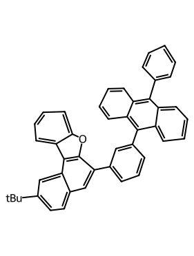 CC(C)(C)c1ccc2cc(-c3cccc(-c4c5ccccc5c(-c5ccccc5)c5ccccc45)c3)c3oc4ccccc4c3c2c1